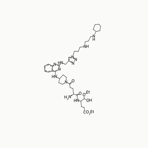 CCOC(=O)CCC(NC(=O)[C@@H](N)CCC(=O)N1CCC(Nc2nc(NCc3cn(CCCNCCCNC4CCCCC4)nn3)nc3ccccc23)CC1)C(O)OCC